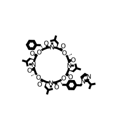 CC(C)C[C@H]1C(=O)O[C@H](Cc2ccc(Cn3ccnc3C(C)C)cc2)C(=O)N(C)[C@@H](CC(C)C)C(=O)O[C@H](C)C(=O)N(C)[C@@H](CC(C)C)C(=O)O[C@H](Cc2ccccc2)C(=O)N(C)[C@@H](CC(C)C)C(=O)O[C@H](C)C(=O)N1C